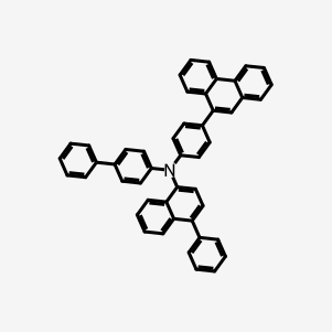 c1ccc(-c2ccc(N(c3ccc(-c4cc5ccccc5c5ccccc45)cc3)c3ccc(-c4ccccc4)c4ccccc34)cc2)cc1